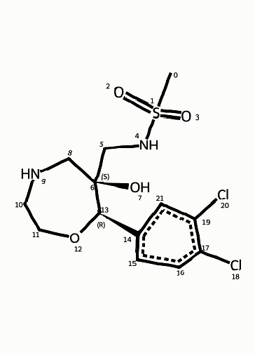 CS(=O)(=O)NC[C@@]1(O)CNCCO[C@@H]1c1ccc(Cl)c(Cl)c1